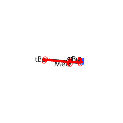 COC(=O)C(CCCCCCCCCCCCCCCCCCCCCCCCOC(=O)C(C)(C)C)[C@@H](CCCCCCCCCS(=O)(=O)c1nnnn1-c1ccccc1)O[Si](C)(C)C(C)(C)C